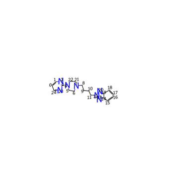 c1cnc(N2CCN(CCCCn3nc4ccccc4n3)CC2)nc1